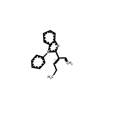 C=C/C(=C\CC)c1nc2ccccc2n1-c1ccccc1